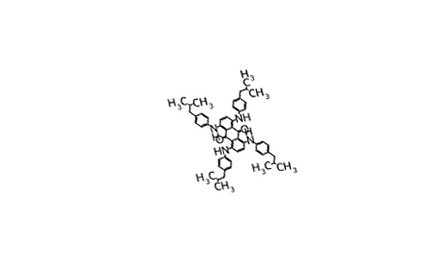 CC(C)Cc1ccc(Nc2ccc(Nc3ccc(CC(C)C)cc3)c3c2C(=O)c2c(Nc4ccc(CC(C)C)cc4)ccc(Nc4ccc(CC(C)C)cc4)c2C3=O)cc1